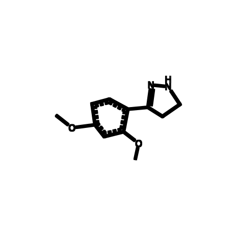 COc1ccc(C2=NNCC2)c(OC)c1